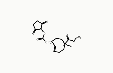 COC(=O)[C@]1(O)CC/C=C/[C@H](OC(=O)ON2C(=O)CCC2=O)CC1